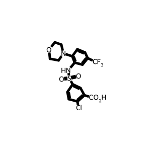 O=C(O)c1cc(S(=O)(=O)Nc2cc(C(F)(F)F)ccc2N2CCOCC2)ccc1Cl